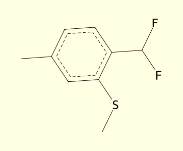 CSc1cc(C)ccc1C(F)F